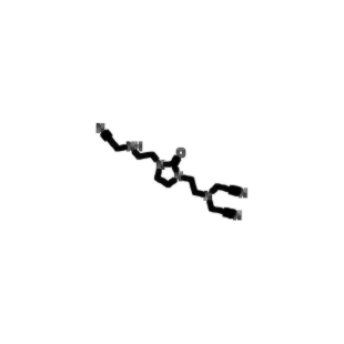 N#CCNCCN1CCN(CCN(CC#N)CC#N)C1=O